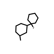 CC1CCCC(C2(F)CCCCC2)C1